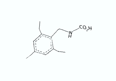 Cc1cc(C)c(CNC(=O)O)c(C)c1